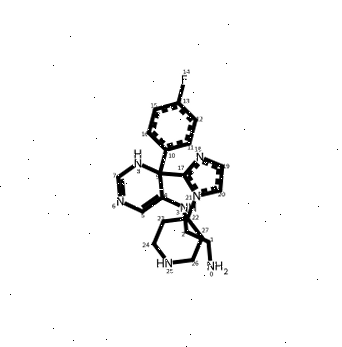 NCCNC1=CN=CNC1(c1ccc(F)cc1)c1nccn1C1CCNCC1